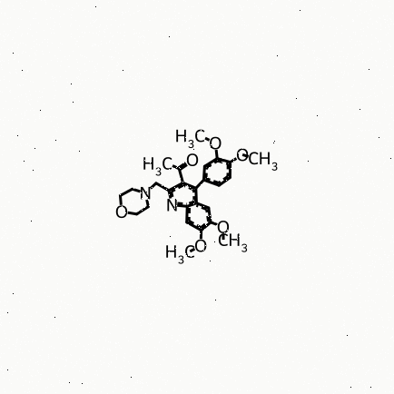 COc1ccc(-c2c(C(C)=O)c(CN3CCOCC3)nc3cc(OC)c(OC)cc23)cc1OC